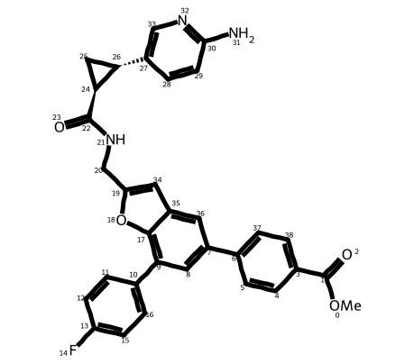 COC(=O)c1ccc(-c2cc(-c3ccc(F)cc3)c3oc(CNC(=O)[C@H]4C[C@@H]4c4ccc(N)nc4)cc3c2)cc1